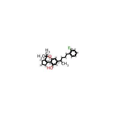 CC(CCCc1ccccc1F)c1cc(O)c2c(c1)OC(C)(C)C1=C2CCC1